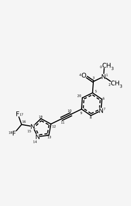 CN(C)C(=O)c1cncc(C#Cc2cnn(C(F)F)c2)c1